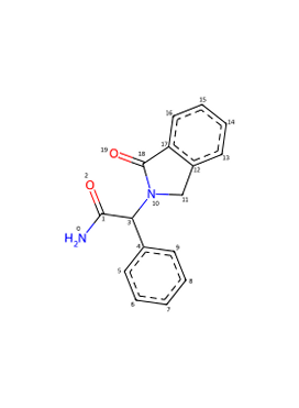 NC(=O)C(c1ccccc1)N1Cc2ccccc2C1=O